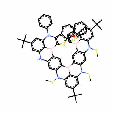 CSN1c2cc3c(cc2B2c4sc5ccccc5c4Oc4cc(C(C)(C)C)cc1c42)B1c2cc4c(cc2N(SC)c2cc(C(C)(C)C)cc(c21)N3SC)Nc1cc(C(C)(C)C)cc2c1B4c1sc3ccccc3c1N2c1ccccc1